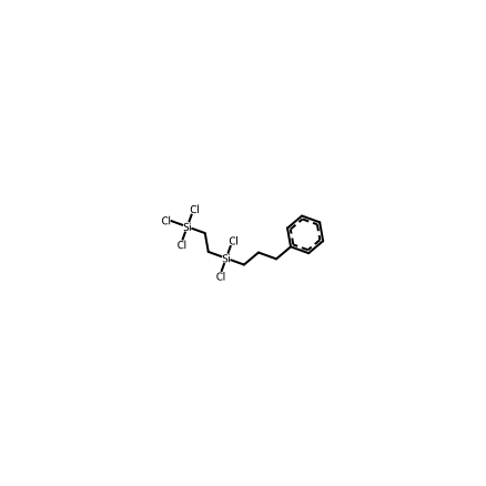 Cl[Si](Cl)(Cl)CC[Si](Cl)(Cl)CCCc1ccccc1